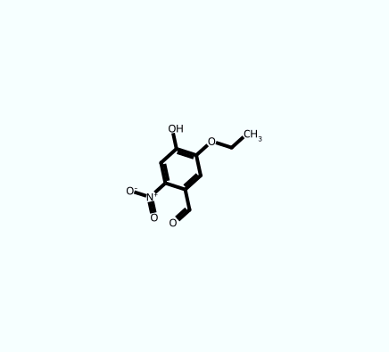 CCOc1cc(C=O)c([N+](=O)[O-])cc1O